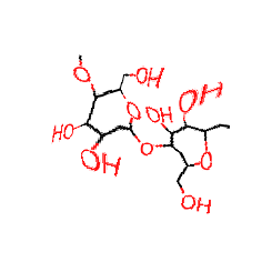 COC1C(CO)OC(OC2C(CO)OC(C)C(O)C2O)C(O)C1O